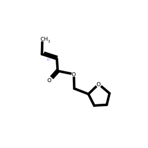 C/C=C/C(=O)OCC1CCCO1